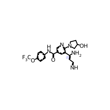 N=C/C=C(\N)c1cc(C(=O)Nc2ccc(OC(F)(F)F)cc2)cnc1N1CCC(O)C1